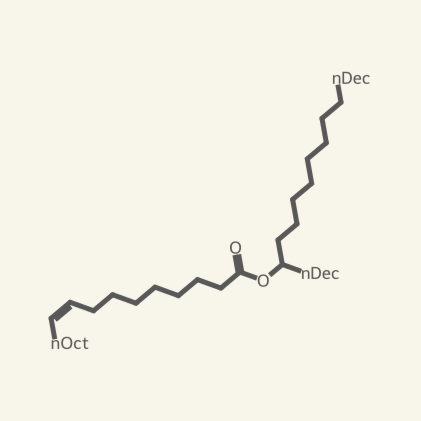 CCCCCCCC/C=C\CCCCCCCC(=O)OC(CCCCCCCCCC)CCCCCCCCCCCCCCCCCC